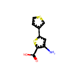 Nc1cc(-c2ccsc2)sc1C(=O)O